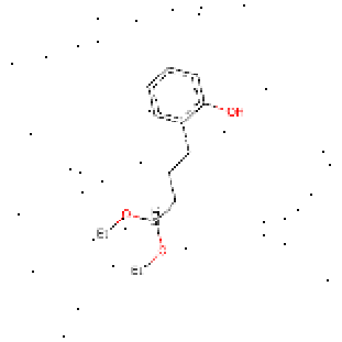 CCO[SiH](CCCc1ccccc1O)OCC